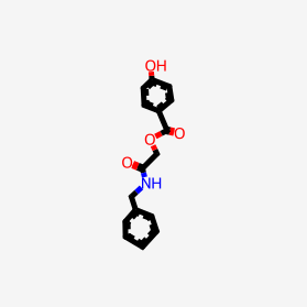 O=C(COC(=O)c1ccc(O)cc1)NCc1ccccc1